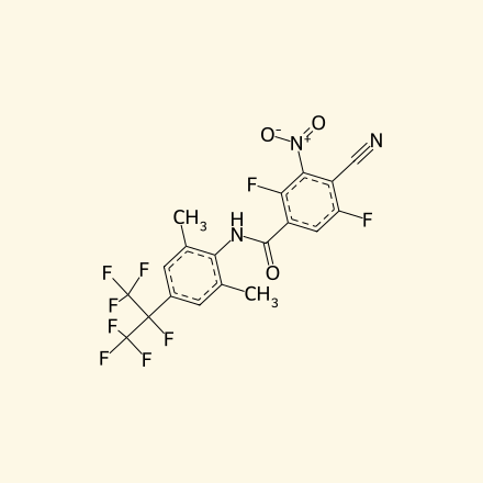 Cc1cc(C(F)(C(F)(F)F)C(F)(F)F)cc(C)c1NC(=O)c1cc(F)c(C#N)c([N+](=O)[O-])c1F